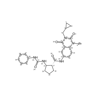 CC(C)n1c(=O)n(CC2CC2)c(=O)c2cc(NC(=O)[C@@H]3CCCC3NC(=O)Nc3ccccc3)ccc21